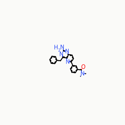 CN(C)C(=O)c1cccc(-c2ccc3nc(N)nc(Cc4ccccc4)c3n2)c1